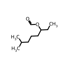 CCC(CCCC(C)C)OC=O